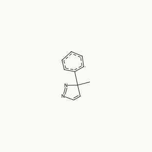 CC1(c2[c]cccc2)C=CN=N1